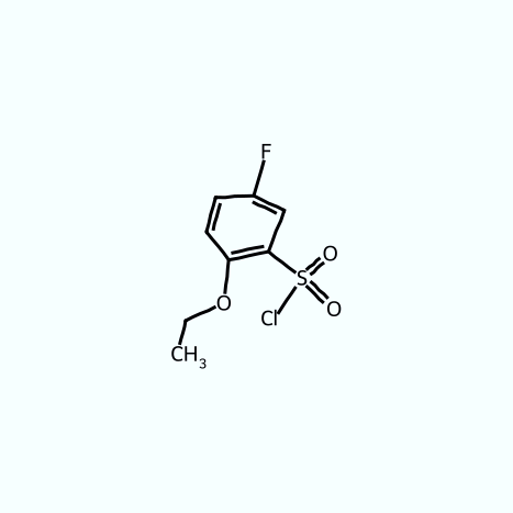 CCOc1ccc(F)cc1S(=O)(=O)Cl